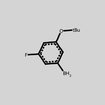 Bc1cc(F)cc(OC(C)(C)C)c1